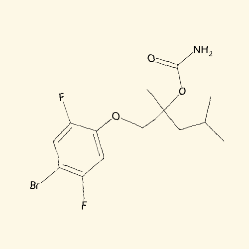 CC(C)CC(C)(COc1cc(F)c(Br)cc1F)OC(N)=O